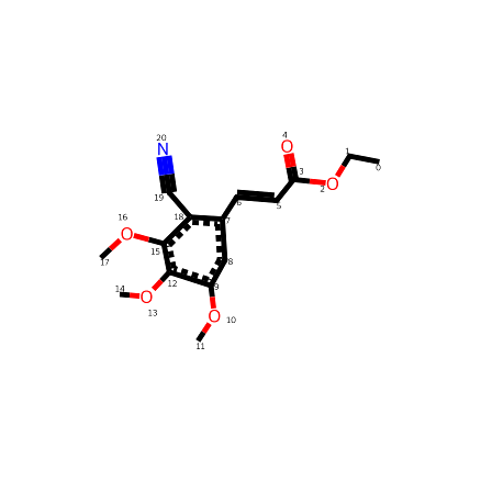 CCOC(=O)/C=C/c1cc(OC)c(OC)c(OC)c1C#N